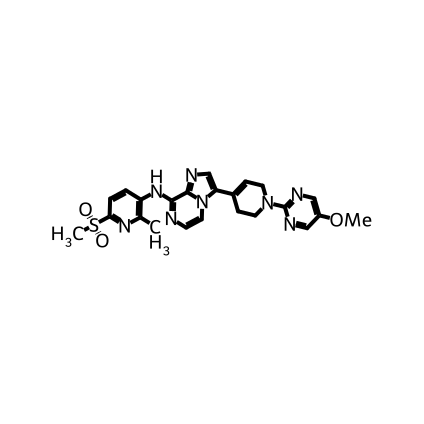 COc1cnc(N2CC=C(c3cnc4c(Nc5ccc(S(C)(=O)=O)nc5C)nccn34)CC2)nc1